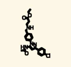 CCOC(=O)CCNCc1ccc(-n2nc(-c3ccc(Cl)cc3)cc2NC(C)=O)cc1